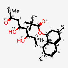 CCC(C)(C)C(=O)O[C@H]1C[C@@H](C)C=C2C=C[C@H](C)[C@H](CCC(O)CC(O)CC(=O)NC)[C@H]21